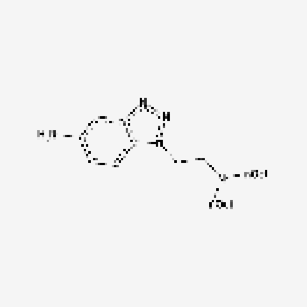 CCCCCCCCN(CCCCCCCC)CCn1nnc2cc(N)ccc21